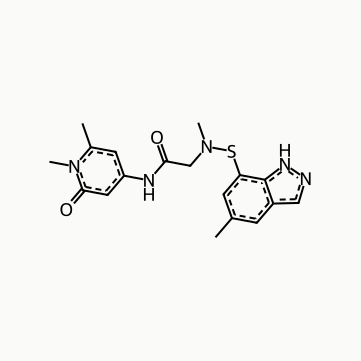 Cc1cc(SN(C)CC(=O)Nc2cc(C)n(C)c(=O)c2)c2[nH]ncc2c1